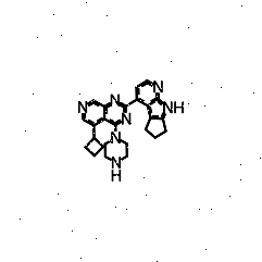 c1cc(-c2nc(N3CCNCC3)c3c(C4CCC4)cncc3n2)c2c3c([nH]c2n1)CCC3